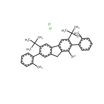 Cc1ccccc1-c1cc2c(cc1C(C)(C)C)-c1cc(C(C)(C)C)c(-c3ccccc3C)[c]([Zr+2])c1C2.[Cl-].[Cl-]